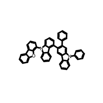 c1ccc(-c2cc3c(cc2-c2cccc4c2c2ccccc2n4-c2cccc4c2oc2ccccc24)c2ccccc2n3-c2ccccc2)cc1